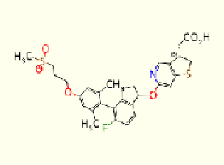 Cc1cc(OCCCS(C)(=O)=O)cc(C)c1-c1c(F)ccc2c1CCC2Oc1cc2c(cn1)[C@H](CC(=O)O)CS2